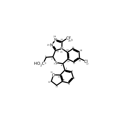 O=C(O)CC1SC(c2cccc3c2OCC3)c2cc(Cl)ccc2-n2c1nnc2C(F)(F)F